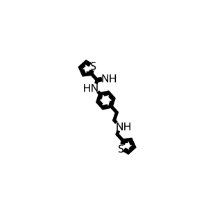 N=C(Nc1ccc(CCNCc2cccs2)cc1)c1cccs1